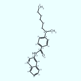 CCCCCCN(C)c1ccc(C(=O)Nc2cnc3ccccc3c2)cc1